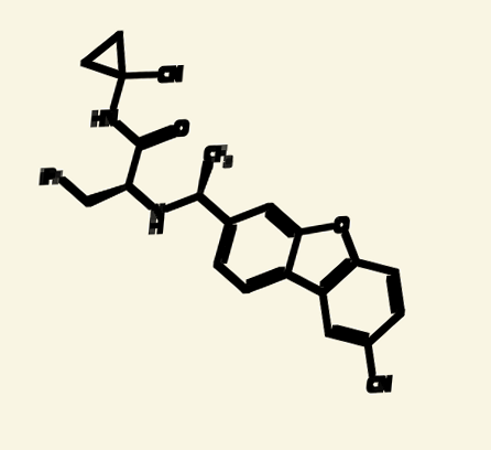 CC(C)C[C@H](N[C@H](c1ccc2c(c1)oc1ccc(C#N)cc12)C(F)(F)F)C(=O)NC1(C#N)CC1